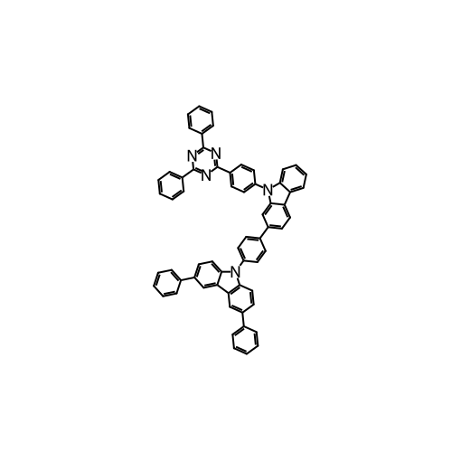 c1ccc(-c2ccc3c(c2)c2cc(-c4ccccc4)ccc2n3-c2ccc(-c3ccc4c5ccccc5n(-c5ccc(-c6nc(-c7ccccc7)nc(-c7ccccc7)n6)cc5)c4c3)cc2)cc1